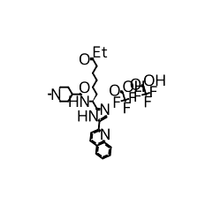 CCC(=O)CCCCC[C@H](NC(=O)C1CCN(C)CC1)c1ncc(-c2ccc3ccccc3n2)[nH]1.O=C(O)C(F)(F)F.O=C(O)C(F)(F)F